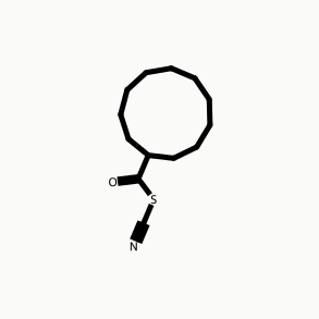 N#CSC(=O)C1CCCCCCCCCC1